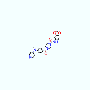 CN(c1ccncc1)c1ccc(C(=O)N2CCN(C(=O)Nc3ccc4c(c3)OCO4)CC2)cc1